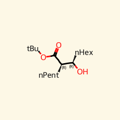 CCCCCC[C@@H](O)[C@@H](CCCCC)C(=O)OC(C)(C)C